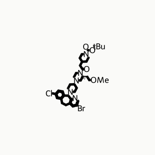 COCC[C@H]1CN(C2CCN(C3c4ccc(Cl)cc4CCc4cc(Br)cnc43)CC2)CCN1C(=O)CC1CCN(C(=O)OC(C)(C)C)CC1